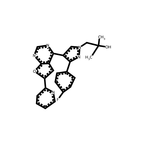 CC(C)(O)Cn1cc(-c2ncnc3oc(-c4ccccn4)cc23)c(-c2ccc(F)cc2)n1